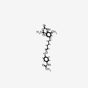 CC(=O)Nc1ccc(SON=CCCCOc2cc(C)c3c(c2)C(C)(C)OC(=O)N3)cc1